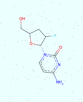 Nc1ccn([C@@H]2OC(CO)CC2F)c(=O)n1